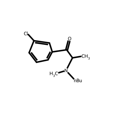 CCCCN(C)C(C)C(=O)c1cccc(Cl)c1